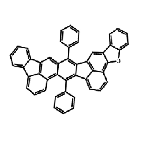 c1ccc(-c2c3cc4c5ccccc5c5cccc(c3c(-c3ccccc3)c3c6cccc7c8oc9ccccc9c8cc(c23)c76)c54)cc1